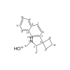 CNC(C)C1(c2ccc3ccccc3c2)CCC1.Cl